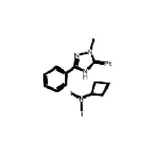 Cn1nc(-c2ccccc2)[nH][c]1=[Pt].IN(I)C1CCC1